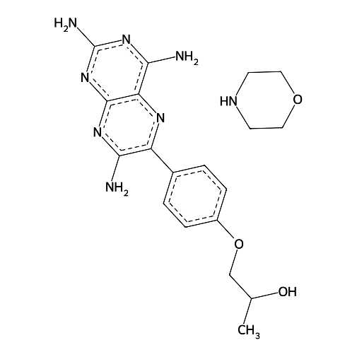 C1COCCN1.CC(O)COc1ccc(-c2nc3c(N)nc(N)nc3nc2N)cc1